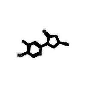 CC(=O)C1CC(=O)N(c2cc(C)c(C#N)cn2)C1